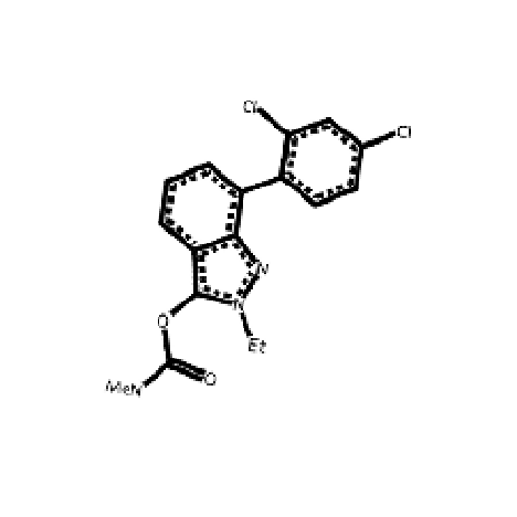 CCn1nc2c(-c3ccc(Cl)cc3Cl)cccc2c1OC(=O)NC